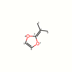 CC(C)=C1OC=CO1